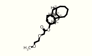 COCCOCC(=O)Oc1ccc2c(c1)[C@@]1(C)CCCCC[C@@H](C2)[C@@H]1N